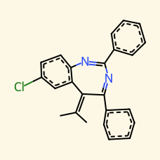 CC(C)=C1C(c2ccccc2)=NC(c2ccccc2)=Nc2ccc(Cl)cc21